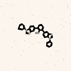 CC(C)(C)c1c(-c2ccc3c(c2)ncn3-c2ccccc2)cccc1-c1ccc2c(c1)ncn2-c1ccccc1